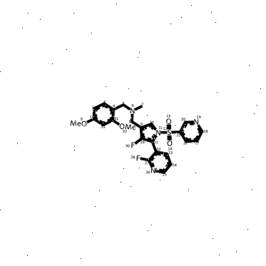 COc1ccc(CN(C)Cc2cn(S(=O)(=O)c3cccnc3)c(-c3cccnc3F)c2F)c(OC)c1